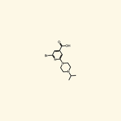 CC(C)N1CCN(c2cc(C(=O)O)cc(Br)n2)CC1